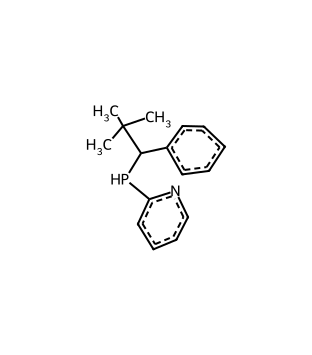 CC(C)(C)C(Pc1ccccn1)c1ccccc1